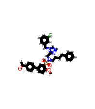 COc1ccc(-c2ccc(C(C)=O)cc2)cc1S(=O)(=O)N(CCCCc1ccccc1)Cc1nncn1Cc1cccc(F)c1